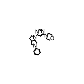 c1ccc(N2CC3CCN(c4cc(N5CCOCC5)ncn4)C3C2)cc1